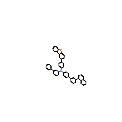 c1ccc(-c2cccc(N(c3ccc(-c4cccc(-c5cccc6ccccc56)c4)cc3)c3ccc(-c4ccc5oc6ccccc6c5c4)cc3)c2)cc1